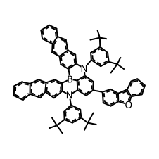 CC(C)(C)c1cc(N2c3cc4cc5ccccc5cc4cc3B3c4cc5cc6ccccc6cc5cc4N(c4cc(C(C)(C)C)cc(C(C)(C)C)c4)c4cc(-c5ccc6oc7ccccc7c6c5)cc2c43)cc(C(C)(C)C)c1